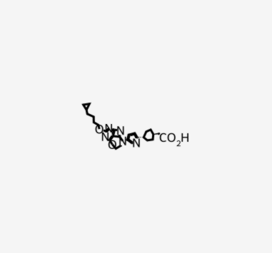 O=C(O)C[C@H]1CC[C@H](c2ccc(N3CCOc4nc(OCCCCC5CC5)nc5c4C3=N5)cn2)CC1